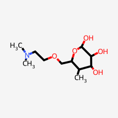 CC1C(COCCN(C)C)OC(O)C(O)C1O